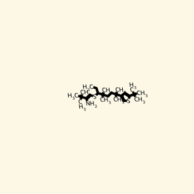 CCC(S/C=C(\N)C(C)(C)C)C(C)(C)CCC(C)(C)c1csc(C(C)(C)C)c1